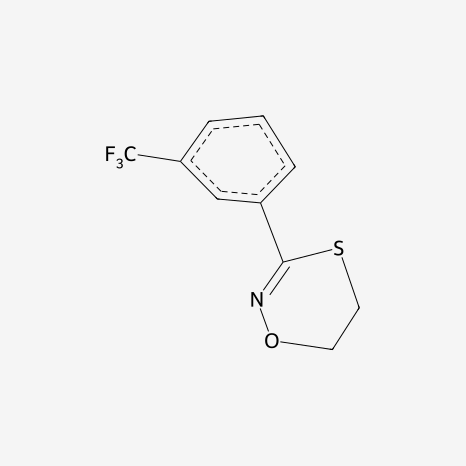 FC(F)(F)c1cccc(C2=NOCCS2)c1